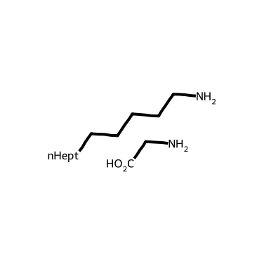 CCCCCCCCCCCCN.NCC(=O)O